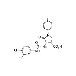 Cc1ccc(N2CC(C(=O)O)C(NC(=O)Nc3ccc(Cl)c(Cl)c3)C2=O)cc1